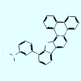 OB(O)c1cccc(-c2cccc3c2oc2c3ccc3c4ccccc4c4ccccc4c32)c1